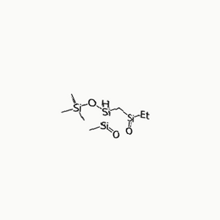 CC[Si](=O)C[SiH](O[Si](C)(C)C)[Si](C)=O